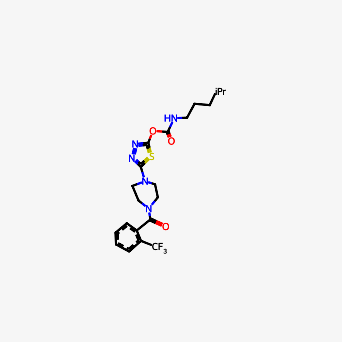 CC(C)CCCNC(=O)Oc1nnc(N2CCN(C(=O)c3ccccc3C(F)(F)F)CC2)s1